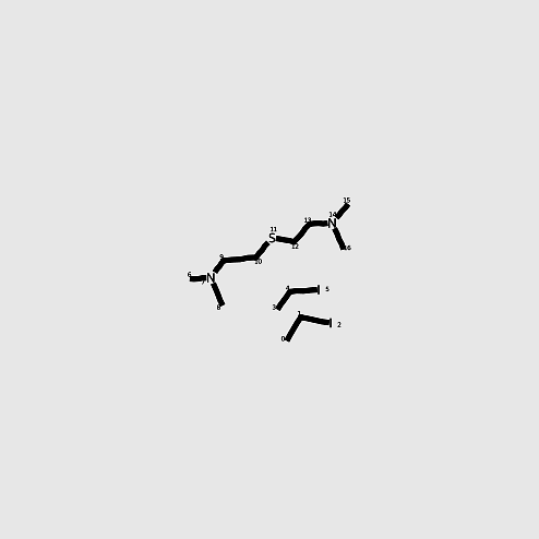 CCI.CCI.CN(C)CCSCCN(C)C